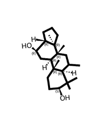 CC1C[C@]2(C)[C@H](C[C@@H](O)[C@@H]3CCC[C@]32C)[C@@]2(C)CC[C@H](O)C(C)(C)[C@H]12